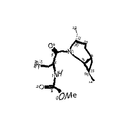 COC(=O)NC(C(=O)N1C2C(C[C@H]1C)[C@H]2C)C(C)C